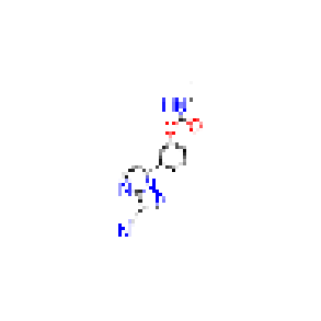 CCNC(=O)Oc1cccc(-c2ccnc3c(C#N)cnn23)c1